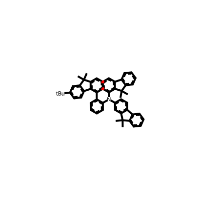 CC(C)(C)c1ccc2c(c1)C(C)(C)c1cccc(-c3ccccc3N(c3ccc4c(c3)C(C)(C)c3ccccc3-4)c3cccc4c3C(C)(C)c3ccccc3-4)c1-2